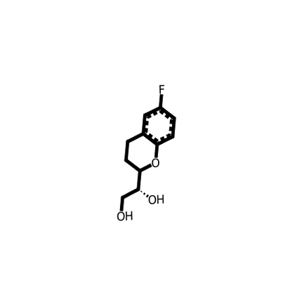 OC[C@@H](O)C1CCc2cc(F)ccc2O1